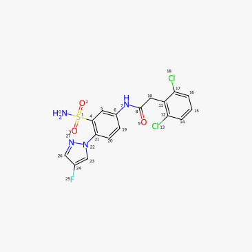 NS(=O)(=O)c1cc(NC(=O)Cc2c(Cl)cccc2Cl)ccc1-n1cc(F)cn1